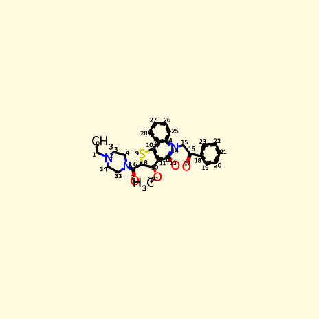 CCN1CCN(C(=O)C2Sc3c(c(=O)n(CC(=O)c4ccccc4)c4ccccc34)C2OC)CC1